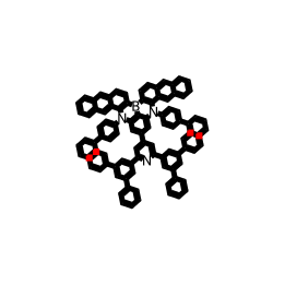 c1ccc(-c2ccc(N3c4cc(-c5cc(-c6cc(-c7ccccc7)cc(-c7ccccc7)c6)nc(-c6cc(-c7ccccc7)cc(-c7ccccc7)c6)c5)cc5c4B(c4ccc6cc7ccccc7cc6c43)c3ccc4cc6ccccc6cc4c3N5c3ccc(-c4ccccc4)cc3)cc2)cc1